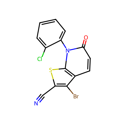 N#Cc1sc2c(ccc(=O)n2-c2ccccc2Cl)c1Br